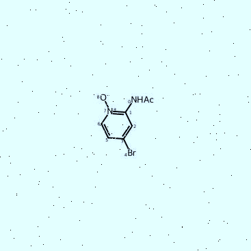 CC(=O)Nc1cc(Br)cc[n+]1[O-]